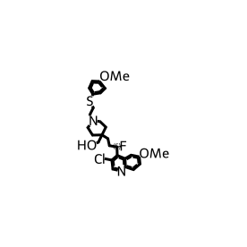 COc1ccc(SCCN2CCC(CO)(CC[C@H](F)c3c(Cl)cnc4ccc(OC)cc34)CC2)cc1